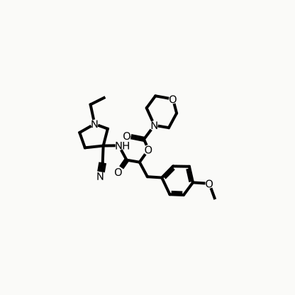 CCN1CCC(C#N)(NC(=O)C(Cc2ccc(OC)cc2)OC(=O)N2CCOCC2)C1